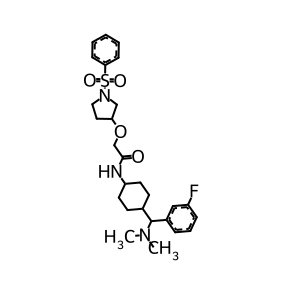 CN(C)C(c1cccc(F)c1)C1CCC(NC(=O)COC2CCN(S(=O)(=O)c3ccccc3)C2)CC1